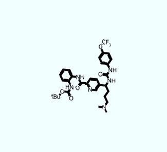 CN(C)CCCC(NC(=O)Nc1ccc(OC(F)(F)F)cc1)c1ccc(C(=O)Nc2ccccc2NC(=O)OC(C)(C)C)nc1